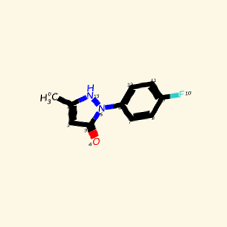 Cc1cc(=O)n(-c2ccc(F)cc2)[nH]1